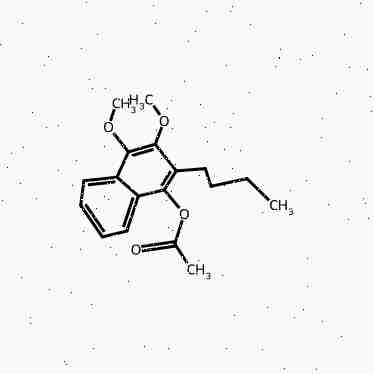 CCCCc1c(OC)c(OC)c2ccccc2c1OC(C)=O